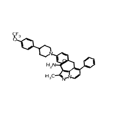 Cc1nn2ccc(-c3ccccc3)c(Cc3ccc(N4CCC(c5ccc(OC(F)(F)F)cc5)CC4)cc3)c2c1C(N)=O